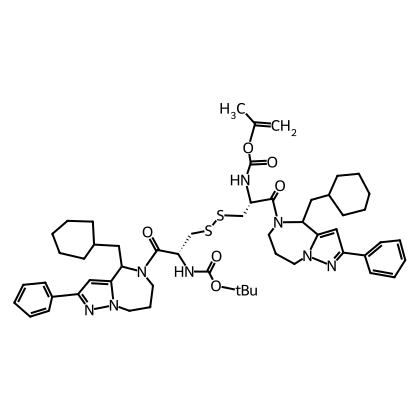 C=C(C)OC(=O)N[C@@H](CSSC[C@H](NC(=O)OC(C)(C)C)C(=O)N1CCCn2nc(-c3ccccc3)cc2C1CC1CCCCC1)C(=O)N1CCCn2nc(-c3ccccc3)cc2C1CC1CCCCC1